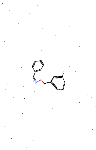 Clc1cccc(CO/N=[C]\c2ccccc2)c1